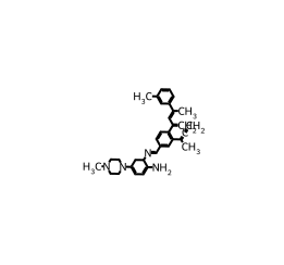 C=C=C(C)c1cc(/C=N/C2CC(N3CCN(C)CC3)=CC=C2N)ccc1C(=C)/C=C(\C)c1cccc(C)c1